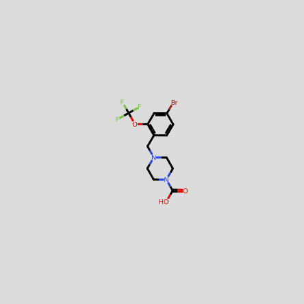 O=C(O)N1CCN(Cc2ccc(Br)cc2OC(F)(F)F)CC1